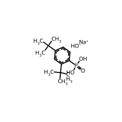 CC(C)(C)c1ccc(P(=O)(O)O)c(C(C)(C)C)c1.[Na+].[OH-]